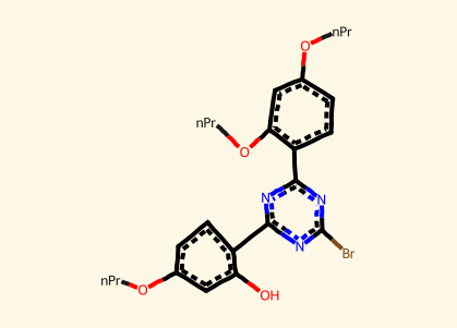 CCCOc1ccc(-c2nc(Br)nc(-c3ccc(OCCC)cc3OCCC)n2)c(O)c1